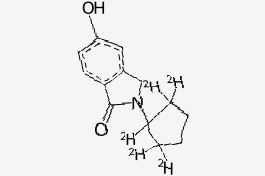 [2H]C1([2H])CCC([2H])([2H])C1([2H])N1Cc2cc(O)ccc2C1=O